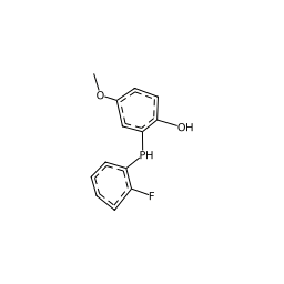 COc1ccc(O)c(Pc2ccccc2F)c1